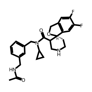 CC(=O)NCc1cccc(CN(C(=O)C2CNCC[C@@]23OCc2cc(F)c(F)cc23)C2CC2)c1